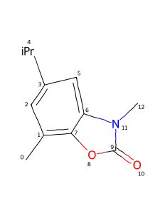 Cc1cc(C(C)C)cc2c1oc(=O)n2C